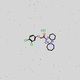 CN(C(=O)COc1ccc(Cl)c(Cl)c1)[C@@H]1CCCC[C@H]1N1CCCCCC1.Cl